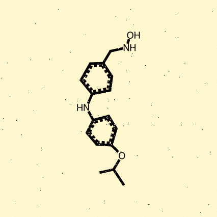 CC(C)Oc1ccc(Nc2ccc(CNO)cc2)cc1